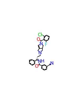 N#Cc1cccc(C(=O)N[C@@H](CCN2CC3=CN(C(=O)c4c(F)cccc4Cl)CC3C2)c2ccccc2)c1